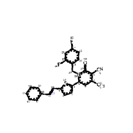 N#Cc1c(C(F)(F)F)cc(-c2ccc(/C=C/c3ccccc3)s2)n(Cc2ccc(F)cc2F)c1=O